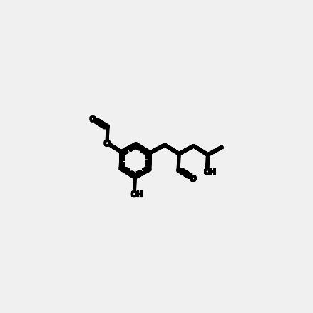 CC(O)CC(C=O)Cc1cc(O)cc(OC=O)c1